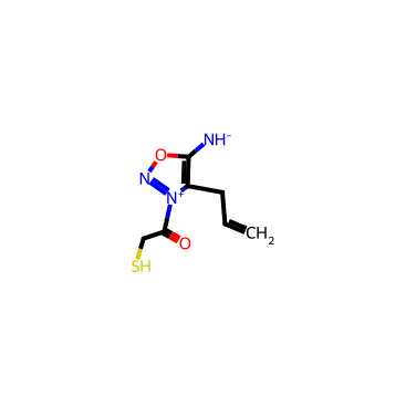 C=CCc1c([NH-])on[n+]1C(=O)CS